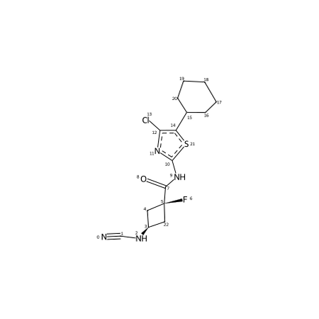 N#CN[C@H]1C[C@](F)(C(=O)Nc2nc(Cl)c(C3CCCCC3)s2)C1